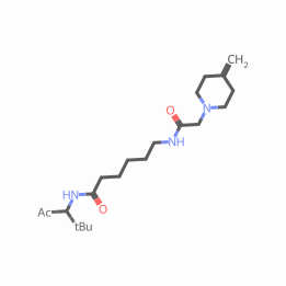 C=C1CCN(CC(=O)NCCCCCC(=O)NC(C(C)=O)C(C)(C)C)CC1